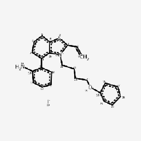 C=Cc1sc2cccc(-c3ccccc3N)c2[n+]1CCCCOc1ccccc1.[I-]